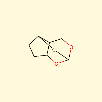 C1CC2OC3CC1C2CO3